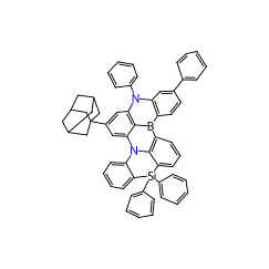 c1ccc(-c2ccc3c(c2)N(c2ccccc2)c2cc(C45CC6CC(CC(C6)C4)C5)cc4c2B3c2cccc3c2N4c2ccccc2[Si]3(c2ccccc2)c2ccccc2)cc1